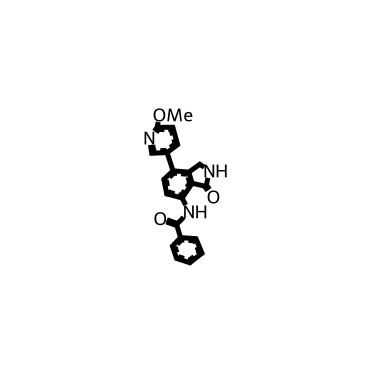 COc1ccc(-c2ccc(NC(=O)c3ccccc3)c3c2CNC3=O)cn1